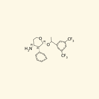 CC(O[C@H]1OCC[C@@H](N)[C@H]1c1ccccc1)c1cc(C(F)(F)F)cc(C(F)(F)F)c1